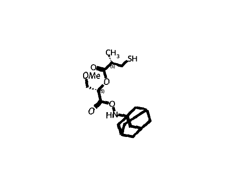 COC[C@H](OC(=O)[C@H](C)CS)C(=O)ONC12CC3CC(CC(C3)C1)C2